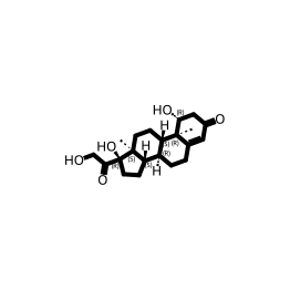 C[C@@]12C(=CC(=O)C[C@H]1O)CC[C@@H]1[C@@H]2CC[C@@]2(C)[C@H]1CC[C@]2(O)C(=O)CO